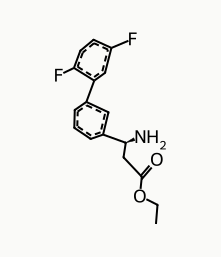 CCOC(=O)C[C@H](N)c1cccc(-c2cc(F)ccc2F)c1